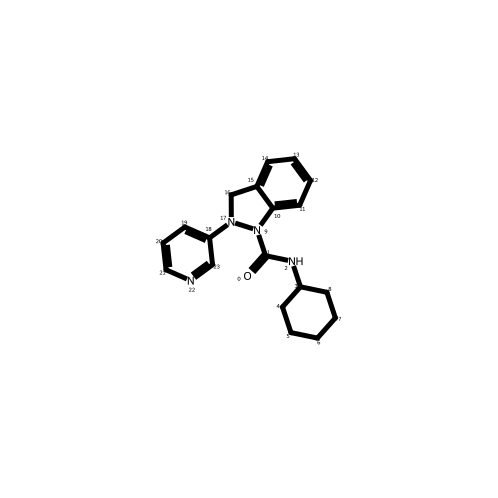 O=C(NC1CCCCC1)N1c2ccccc2CN1c1cccnc1